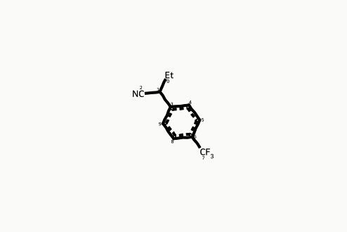 CCC(C#N)c1ccc(C(F)(F)F)cc1